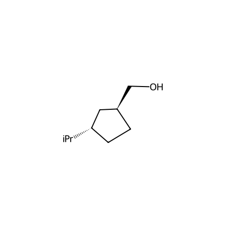 CC(C)[C@H]1CC[C@H](CO)C1